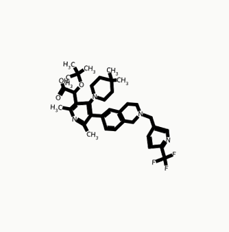 Cc1nc(C)c(C(OC(C)(C)C)C(=O)O)c(N2CCC(C)(C)CC2)c1-c1ccc2c(c1)CCN(Cc1ccc(C(F)(F)F)nc1)C2